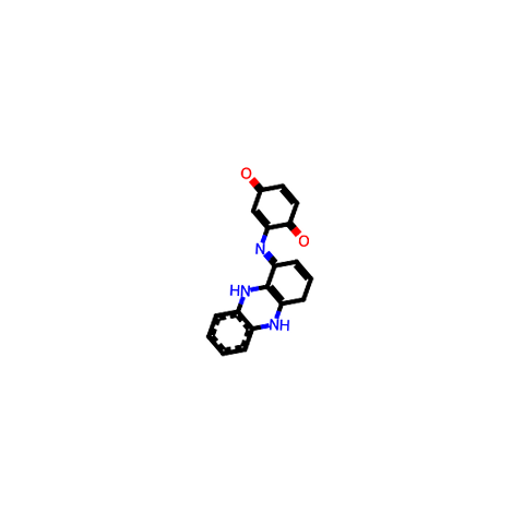 O=C1C=CC(=O)C(N=C2C=CCC3=C2Nc2ccccc2N3)=C1